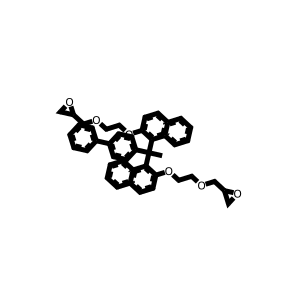 CC(c1ccc(-c2ccccc2)cc1)(c1c(OCCOCC2CO2)ccc2ccccc12)c1c(OCCOCC2CO2)ccc2ccccc12